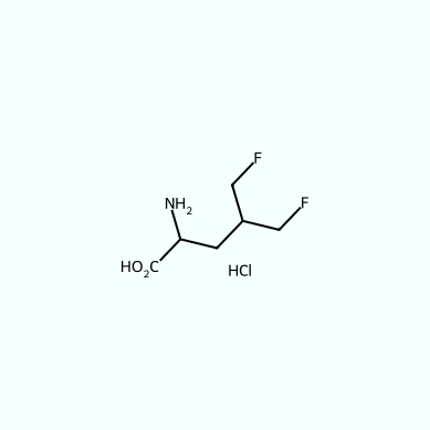 Cl.NC(CC(CF)CF)C(=O)O